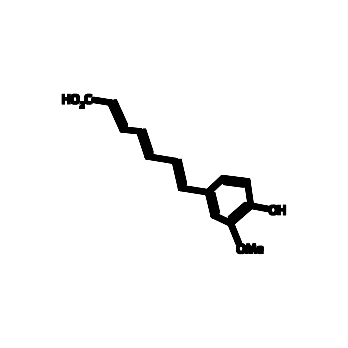 COc1cc(C=CC=CC=CC(=O)O)ccc1O